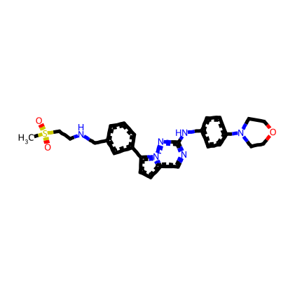 CS(=O)(=O)CCNCc1cccc(-c2ccc3cnc(Nc4ccc(N5CCOCC5)cc4)nn23)c1